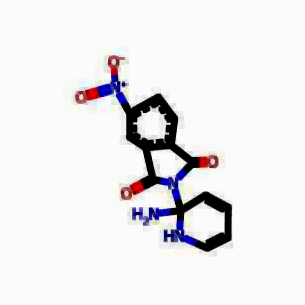 NC1(N2C(=O)c3ccc([N+](=O)[O-])cc3C2=O)C=CC=CN1